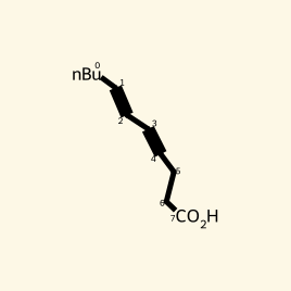 CCCCC#CC#CCCC(=O)O